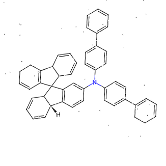 C1=CCCC(c2ccc(N(c3ccc(-c4ccccc4)cc3)c3ccc4c(c3)C3(C5=C(CCC=C5)C5C=CC=CC53)C3C=CC=C[C@@H]43)cc2)=C1